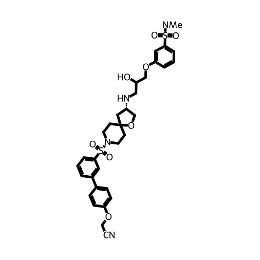 CNS(=O)(=O)c1cccc(OCC(O)CN[C@@H]2COC3(CCN(S(=O)(=O)c4cccc(-c5ccc(OCC#N)cc5)c4)CC3)C2)c1